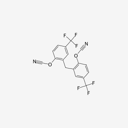 N#COc1ccc(C(F)(F)F)cc1Cc1cc(C(F)(F)F)ccc1OC#N